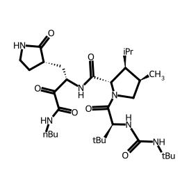 CCCCNC(=O)C(=O)[C@H](C[C@@H]1CCNC1=O)NC(=O)[C@@H]1[C@@H](C(C)C)[C@@H](C)CN1C(=O)[C@@H](NC(=O)NC(C)(C)C)C(C)(C)C